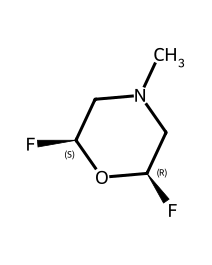 CN1C[C@@H](F)O[C@@H](F)C1